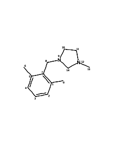 Cc1cccc(C)c1CN1CCN(C)C1